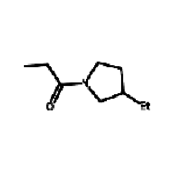 CCC1CCN(C(=O)CI)C1